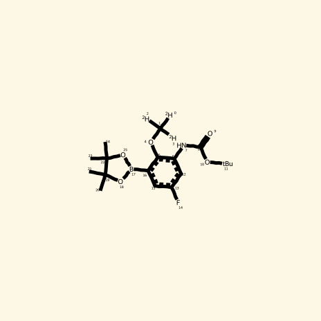 [2H]C([2H])([2H])Oc1c(NC(=O)OC(C)(C)C)cc(F)cc1B1OC(C)(C)C(C)(C)O1